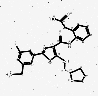 NCc1cc(F)cc(-c2nc(C(=O)Nc3ccccc3CC(=O)O)c(NC[C@@H]3CCCO3)s2)c1